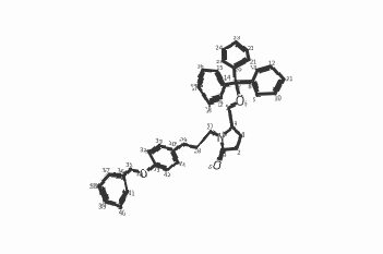 O=C1CCC(COC(c2ccccc2)(c2ccccc2)c2ccccc2)N1CCCc1ccc(OCc2ccccc2)cc1